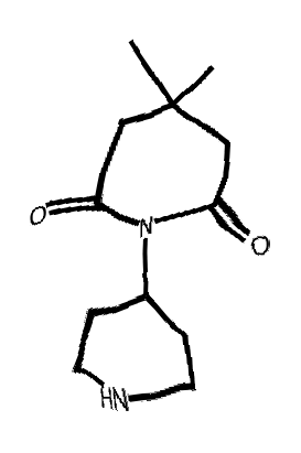 CC1(C)CC(=O)N(C2CCNCC2)C(=O)C1